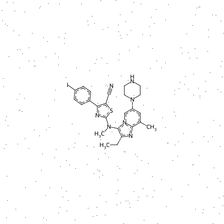 CCc1nc2c(C)cc(N3CCNCC3)cn2c1N(C)c1nc(-c2ccc(I)cc2)c(C#N)s1